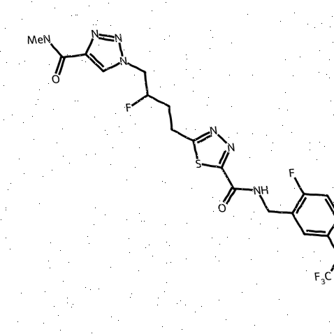 CNC(=O)c1cn(CC(F)CCc2nnc(C(=O)NCc3cc(OC(F)(F)F)ccc3F)s2)nn1